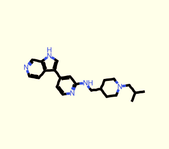 CC(C)CN1CCC(CNc2cc(-c3c[nH]c4cnccc34)ccn2)CC1